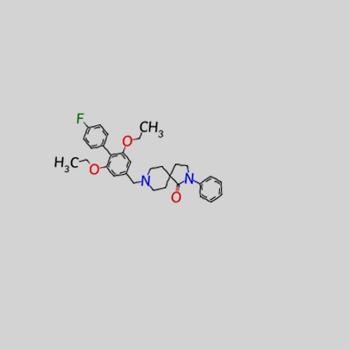 CCOc1cc(CN2CCC3(CC2)CCN(c2ccccc2)C3=O)cc(OCC)c1-c1ccc(F)cc1